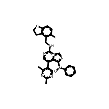 Cc1ncc(-c2cnc(NCc3c(F)ccc4c3CCO4)n3cnc([S+]([O-])c4ccccc4)c23)c(C)n1